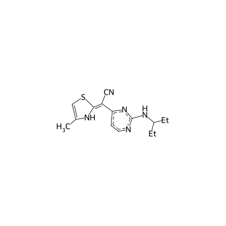 CCC(CC)Nc1nccc(C(C#N)=C2NC(C)=CS2)n1